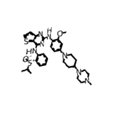 COc1cc(N2CCC(N3CCN(C)CC3)CC2)ccc1Nc1nc(Nc2ccccc2[S+]([O-])C(C)C)c2sccc2n1